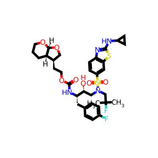 CC(C)(F)CN(C[C@@H](O)[C@H](Cc1ccc(F)cc1)NC(=O)OCC[C@@H]1CO[C@@H]2OCCC[C@H]12)S(=O)(=O)c1ccc2nc(NC3CC3)sc2c1